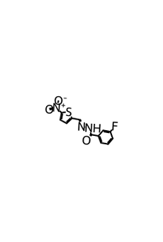 O=C(NN=Cc1ccc([N+](=O)[O-])s1)c1cccc(F)c1